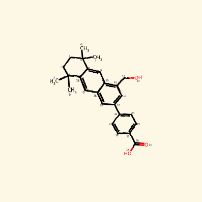 CC1(C)CCC(C)(C)c2cc3c(CO)cc(-c4ccc(C(=O)O)cc4)cc3cc21